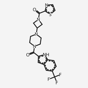 O=C(c1cc2cc(C(F)(F)F)ccc2[nH]1)N1CCN(C2CN(C(=O)c3nccs3)C2)CC1